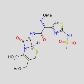 CON=C(C(=O)N[C@H]1C(=O)N2C(C(=O)O)=C(COC(C)=O)CS[C@H]12)c1csc(NS(C)(=O)=O)n1